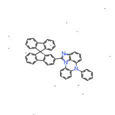 c1ccc(N2c3ccccc3-n3c(-c4ccc5c(c4)C4(c6ccccc6-c6ccccc64)c4ccccc4-5)nc4cccc2c43)cc1